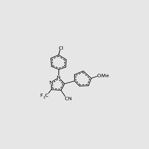 COc1ccc(-c2c(C#N)c(C(F)(F)F)nn2-c2ccc(Cl)cc2)cc1